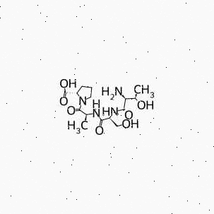 C[C@H](NC(=O)[C@H](CO)NC(=O)[C@@H](N)[C@@H](C)O)C(=O)N1CCC[C@H]1C(=O)O